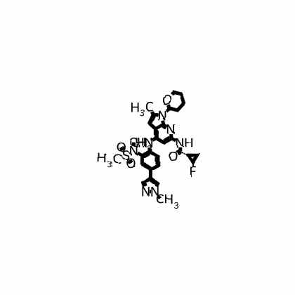 Cc1cc2c(Nc3ccc(-c4cnn(C)c4)cc3N(C)S(C)(=O)=O)cc(NC(=O)[C@@H]3C[C@@H]3F)nc2n1C1CCCCO1